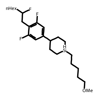 CCCCCCC(F)Cc1c(F)cc(C2CC[SiH](CCCCCOC)CC2)cc1F